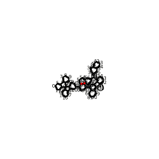 c1ccc2c(c1)-c1ccccc1C21c2ccccc2-c2cc(-c3ccc(-c4cc5c(oc6cccc(N(c7ccc8ccccc8c7)c7ccc8ccccc8c7)c65)c5ccccc45)cc3)ccc21